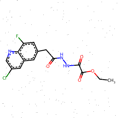 CCOC(=O)C(=O)NNC(=O)Cc1cc(F)c2ncc(Cl)cc2c1